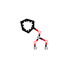 CCO[Si](OCC)Oc1ccccc1